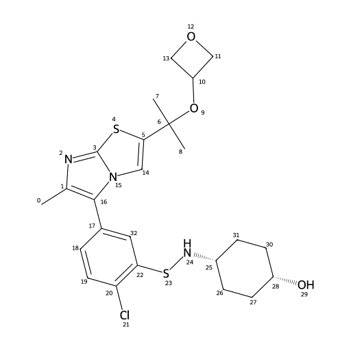 Cc1nc2sc(C(C)(C)OC3COC3)cn2c1-c1ccc(Cl)c(SN[C@H]2CC[C@@H](O)CC2)c1